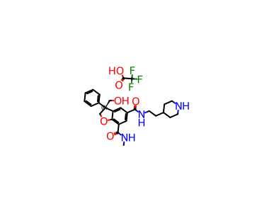 CNC(=O)c1cc(C(=O)NCCC2CCNCC2)cc2c1OC[C@]2(CO)c1ccccc1.O=C(O)C(F)(F)F